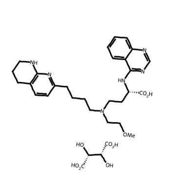 COCCN(CCCCc1ccc2c(n1)NCCC2)CC[C@H](Nc1ncnc2ccccc12)C(=O)O.O=C(O)[C@H](O)[C@@H](O)C(=O)O